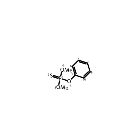 COP(=S)(OC)Oc1ccccc1